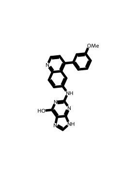 COc1cccc(-c2ccnc3ccc(Nc4nc(O)c5nc[nH]c5n4)cc23)c1